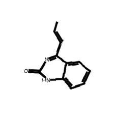 CC=Cc1nc(=O)[nH]c2ccccc12